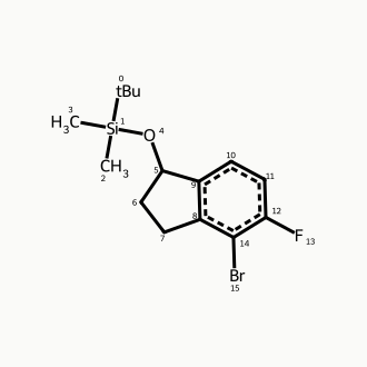 CC(C)(C)[Si](C)(C)OC1CCc2c1ccc(F)c2Br